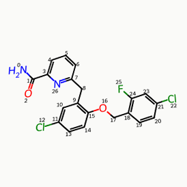 NC(=O)c1cccc(Cc2cc(Cl)ccc2OCc2ccc(Cl)cc2F)n1